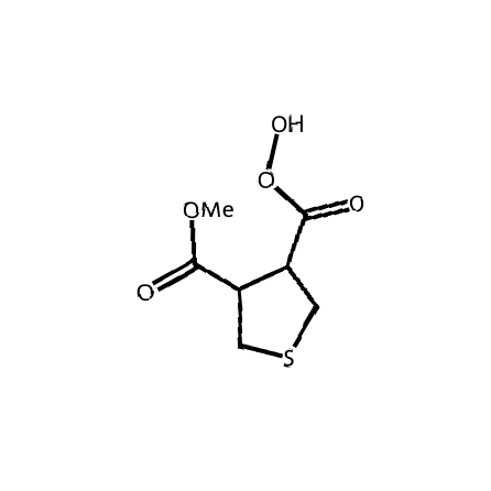 COC(=O)C1CSCC1C(=O)OO